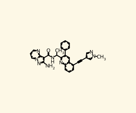 CC(NC(=O)c1c(N)nn2cccnc12)c1nc2cccc(C#Cc3cnn(C)c3)c2cc1-c1ccccc1